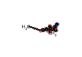 CCCCCCCCCCCCOc1ccc(-c2ccc(-c3c(C(=O)OC)c4c(c5ccccc35)OC(c3ccccc3)(c3ccc(N5CCCC5)cc3)C=C4)cc2)cc1